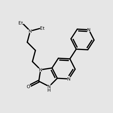 CCN(CC)CCCn1c(=O)[nH]c2ncc(-c3ccncc3)cc21